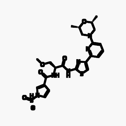 COC[C@H](NC(=O)c1ccn([SH](=O)=O)c1)C(=O)Nc1nc(-c2cccc(N3C[C@@H](C)O[C@@H](C)C3)n2)cs1